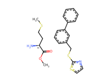 COC(=O)[C@@H](N)CCSC.c1ccc(-c2cccc(CSc3nccs3)c2)cc1